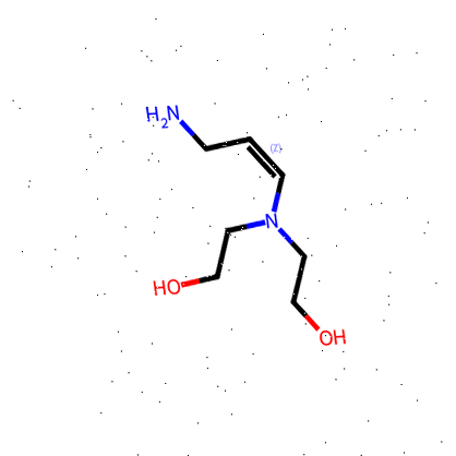 NC/C=C\N(CCO)CCO